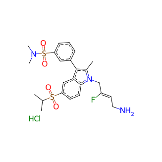 Cc1c(-c2cccc(S(=O)(=O)N(C)C)c2)c2cc(S(=O)(=O)C(C)C)ccc2n1C/C(F)=C/CN.Cl